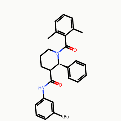 Cc1cccc(C)c1C(=O)N1CCCC(C(=O)Nc2cccc(C(C)(C)C)c2)[C@@H]1c1ccccc1